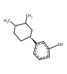 CC1C[C@@H](c2cccc(O)c2)CCN1C